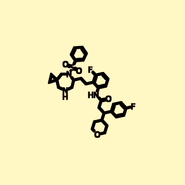 O=C(CC(c1ccc(F)cc1)C1CCOCC1)Nc1cccc(F)c1CCC1CNCC2(CC2)CN1S(=O)(=O)c1ccccc1